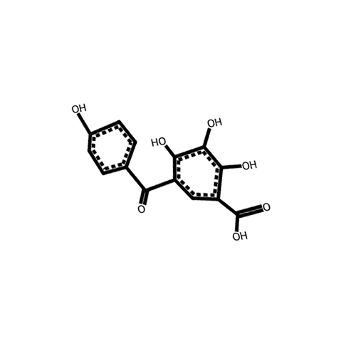 O=C(O)c1cc(C(=O)c2ccc(O)cc2)c(O)c(O)c1O